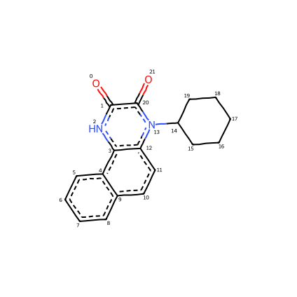 O=c1[nH]c2c3ccccc3ccc2n(C2CCCCC2)c1=O